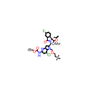 C=CC[C@@]1(C(=O)OC)c2ccc(F)cc2C(=O)N1Cc1cc2nc(NC(=O)OC(C)(C)C)cc(Cl)c2n1COCC[Si](C)(C)C